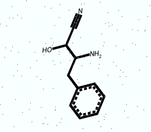 N#CC(O)C(N)Cc1ccccc1